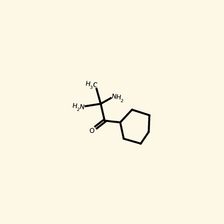 CC(N)(N)C(=O)C1CCCCC1